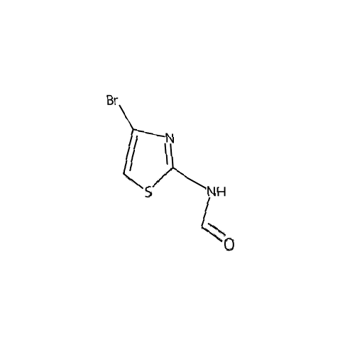 O=CNc1nc(Br)cs1